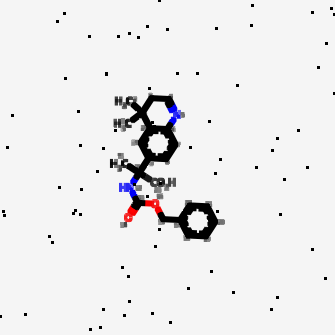 CC1(C)CC=Nc2ccc(C(C)(NC(=O)OCc3ccccc3)C(=O)O)cc21